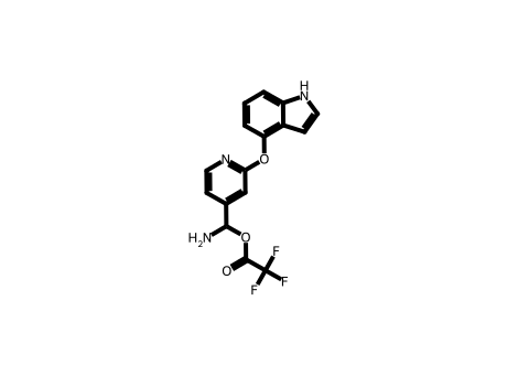 NC(OC(=O)C(F)(F)F)c1ccnc(Oc2cccc3[nH]ccc23)c1